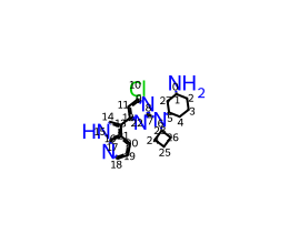 NC1CCCC(N(c2nc(Cl)cc(-c3c[nH]c4ncccc34)n2)C2CCC2)C1